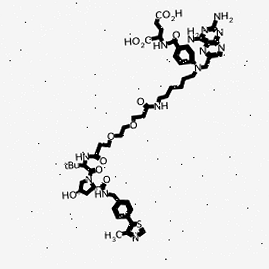 Cc1ncsc1-c1ccc(CNC(=O)[C@@H]2C[C@@H](O)CN2C(=O)C(NC(=O)CCOCCOCCC(=O)NCCCCCCN(Cc2cnc3nc(N)nc(N)c3n2)c2ccc(C(=O)NC(CCC(=O)O)C(=O)O)cc2)C(C)(C)C)cc1